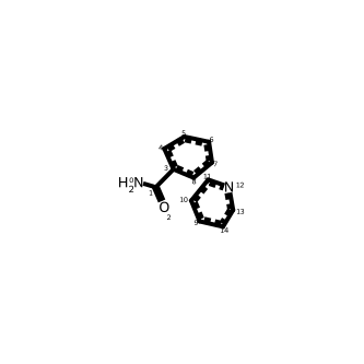 NC(=O)c1ccccc1.c1ccncc1